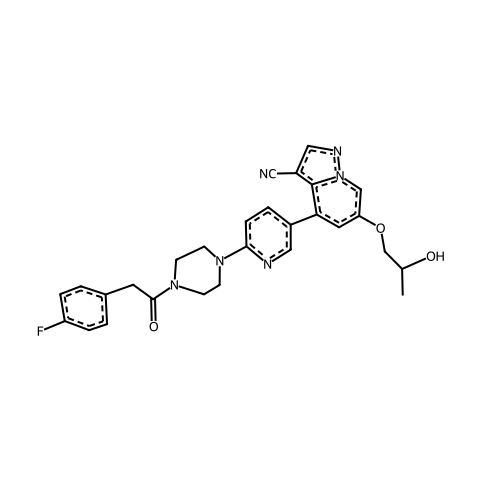 CC(O)COc1cc(-c2ccc(N3CCN(C(=O)Cc4ccc(F)cc4)CC3)nc2)c2c(C#N)cnn2c1